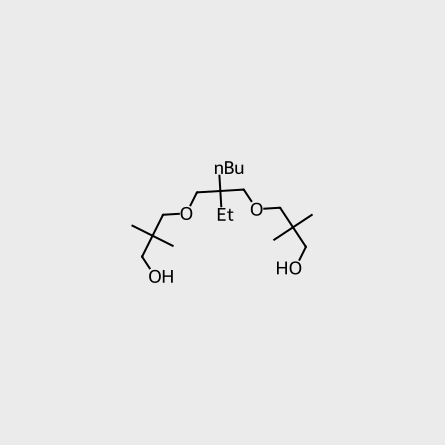 CCCCC(CC)(COCC(C)(C)CO)COCC(C)(C)CO